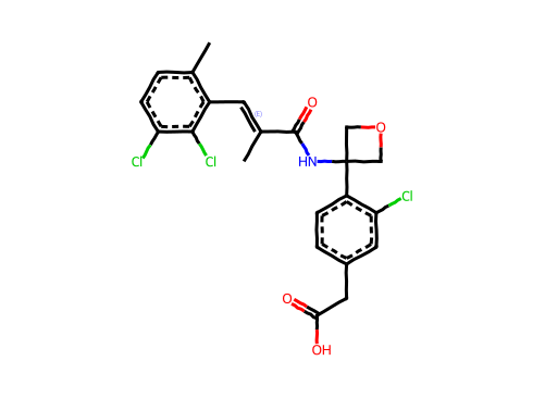 C/C(=C\c1c(C)ccc(Cl)c1Cl)C(=O)NC1(c2ccc(CC(=O)O)cc2Cl)COC1